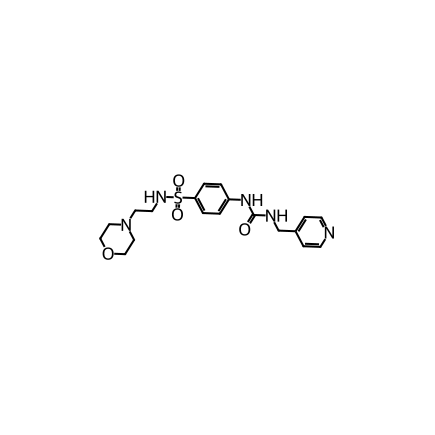 O=C(NCc1ccncc1)Nc1ccc(S(=O)(=O)NCCN2CCOCC2)cc1